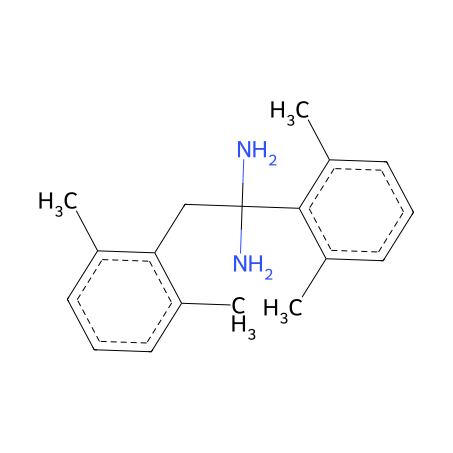 Cc1cccc(C)c1CC(N)(N)c1c(C)cccc1C